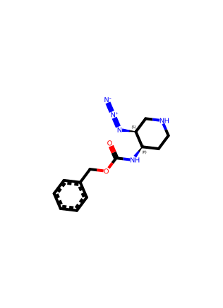 [N-]=[N+]=N[C@H]1CNCC[C@H]1NC(=O)OCc1ccccc1